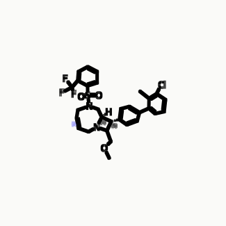 COCC1[C@@H](c2ccc(-c3cccc(Cl)c3C)cc2)[C@@H]2CN(S(=O)(=O)c3ccccc3C(F)(F)F)C/C=C\CN12